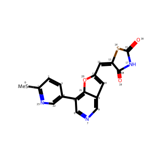 CSc1ccc(-c2cncc3cc(C=C4SC(=O)NC4=O)oc23)cn1